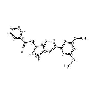 COc1cc(OC)cc(-c2ccc3c(NC(=O)c4ccccc4)n[nH]c3c2)c1